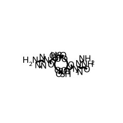 Nc1nc2c(ncn2[C@H]2C[C@@H]3OP(=O)(S)OCC4O[C@@H](n5cnc6c(N)ncnc65)[C@H](O)[C@@H]4OP(=O)(S)OCC3O2)c(=O)[nH]1